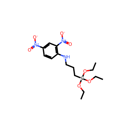 CCO[Si](CCCNc1ccc([N+](=O)[O-])cc1[N+](=O)[O-])(OCC)OCC